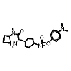 CN(C)c1ccc(OC(=O)NC2CCC([C@H](N)C(=O)N(C)C3CCC3)CC2)cc1